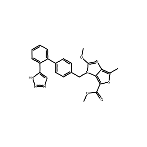 COC(=O)c1sc(C)c2nc(OC)n(Cc3ccc(-c4ccccc4-c4nnn[nH]4)cc3)c12